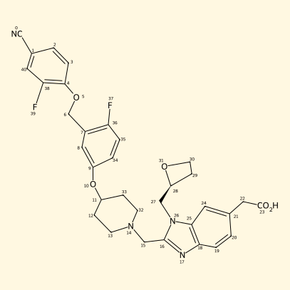 N#Cc1ccc(OCc2cc(OC3CCN(Cc4nc5ccc(CC(=O)O)cc5n4C[C@@H]4CCO4)CC3)ccc2F)c(F)c1